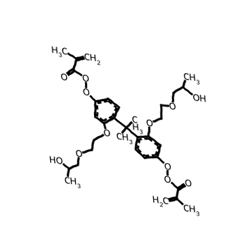 C=C(C)C(=O)OOc1ccc(C(C)(C)c2ccc(OOC(=O)C(=C)C)cc2OCCOCC(C)O)c(OCCOCC(C)O)c1